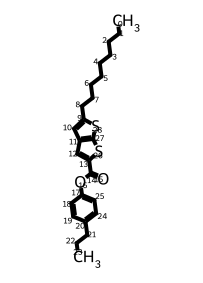 CCCCCCCCCc1cc2cc(C(=O)Oc3ccc(CCC)cc3)sc2s1